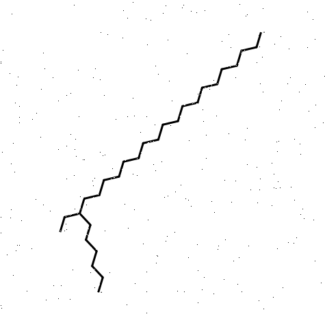 [CH2]CCCCCCCCCCCCCCCCCCC(CC)CCCCC[CH2]